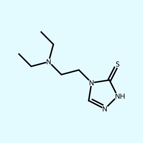 CCN(CC)CCn1cn[nH]c1=S